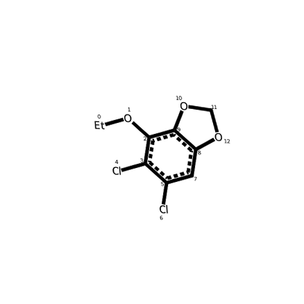 CCOc1c(Cl)c(Cl)cc2c1OCO2